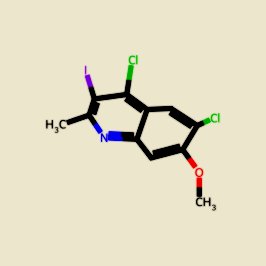 COc1cc2nc(C)c(I)c(Cl)c2cc1Cl